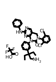 CCC(CC)(CN)c1cccc(N2C(=O)N(c3c(Cl)cccc3Cl)Cc3cnc(Nc4ccccc4)nc32)c1.O=C(O)C(F)(F)F